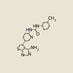 Cc1cccc(NC(=O)Nc2ccc(-c3csc4ncnc(N)c34)cn2)c1